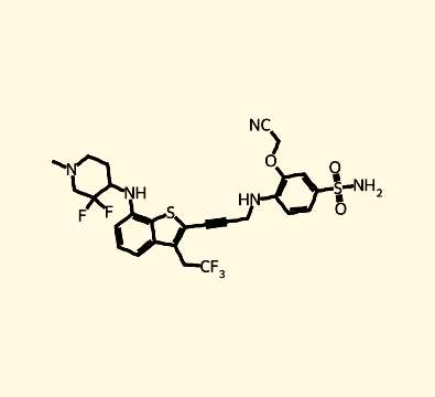 CN1CCC(Nc2cccc3c(CC(F)(F)F)c(C#CCNc4ccc(S(N)(=O)=O)cc4OCC#N)sc23)C(F)(F)C1